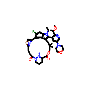 CCn1c(-c2cc(N3CCOCC3)cnc2C(C)OC)c2c3cc(c(F)cc31)-c1csc(n1)CCC(=O)N1CCCC(N1)C(=O)OCC(C)(C)C2